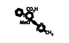 COC1(C#Cc2ncc(C)cn2)CC[C@@H](C(=O)O)[C@H](c2ccccc2)C1